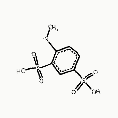 C[N]c1ccc(S(=O)(=O)O)cc1S(=O)(=O)O